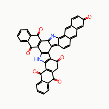 O=C1C2=C(C(=O)c3ccccc31)c1[nH]c3c(c1C(=O)C2)c1c2ccc4cc5cc(=O)ccc5cc4c2nc1c1c(=O)c2ccccc2c(=O)c31